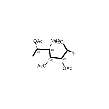 [2H]C(OC(C)=O)[C@H](OC(C)=O)[C@H](OC(C)=O)[C@@H](NC(C)=O)[C@H](C)OC(C)=O